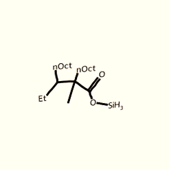 CCCCCCCCC(CC)C(C)(CCCCCCCC)C(=O)O[SiH3]